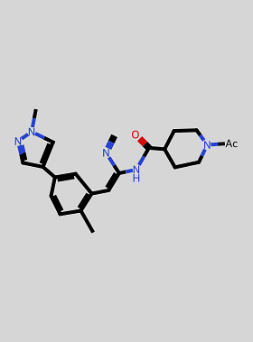 C=N/C(=C\c1cc(-c2cnn(C)c2)ccc1C)NC(=O)C1CCN(C(C)=O)CC1